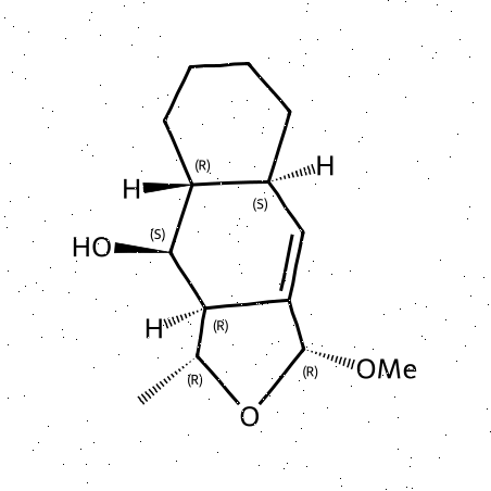 CO[C@@H]1O[C@H](C)[C@@H]2C1=C[C@@H]1CCCC[C@H]1[C@@H]2O